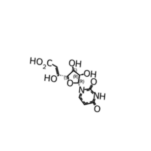 O=C(O)C=C(O)[C@H]1O[C@@H](n2ccc(=O)[nH]c2=O)[C@H](O)[C@@H]1O